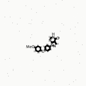 COC1CCC(Oc2ccc(-n3ncc4c(=O)[nH]cnc43)cc2)CC1